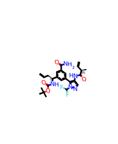 C=CC[C@H](NC(=O)OC(C)(C)C)c1cc(C(N)=O)cc(-c2c(NC(=O)[C@H](C)C=C)cnn2C(F)F)c1